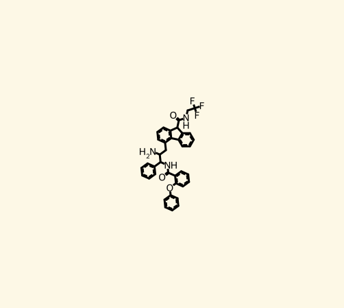 NC(Cc1cccc2c1-c1ccccc1C2C(=O)NCC(F)(F)F)C(NC(=O)c1ccccc1Oc1ccccc1)c1ccccc1